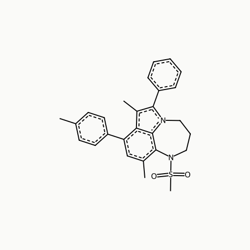 Cc1ccc(-c2cc(C)c3c4c2c(C)c(-c2ccccc2)n4CCCN3S(C)(=O)=O)cc1